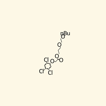 CCCCOCCOCCCOC(=O)COc1cc(Cl)c(Cl)cc1Cl